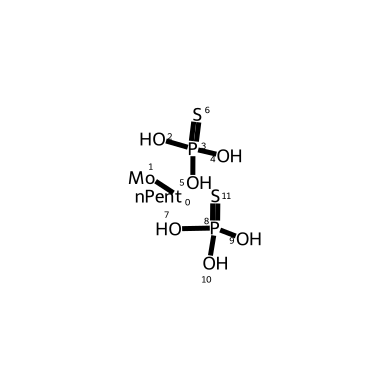 CCCC[CH2][Mo].OP(O)(O)=S.OP(O)(O)=S